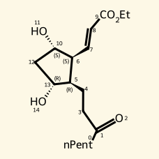 CCCCCC(=O)CC[C@@H]1[C@H](C=CC(=O)OCC)[C@@H](O)C[C@H]1O